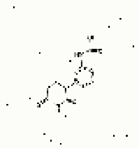 O=C(O)Nc1cccc(C2CCC(=O)NC2=O)c1